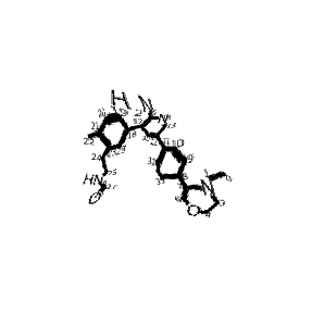 CCN1CCOCC1c1ccc(-c2cnc(N)c(-c3ccc(C)c(CCNC=O)c3)c2)cc1